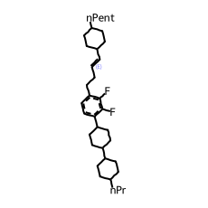 CCCCCC1CCC(/C=C/CCc2ccc(C3CCC(C4CCC(CCC)CC4)CC3)c(F)c2F)CC1